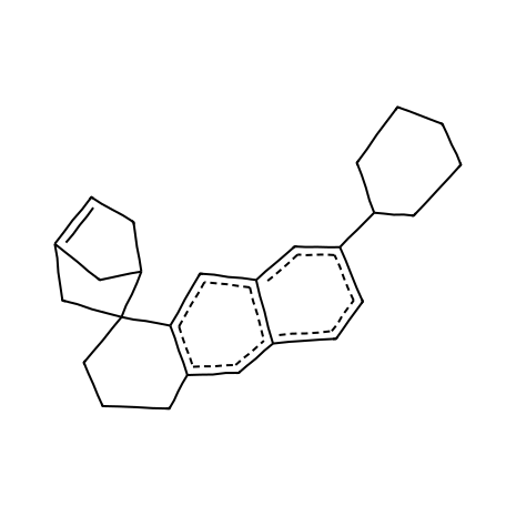 C1=C2CC(C1)C1(CCCc3cc4ccc(C5CCCCC5)cc4cc31)C2